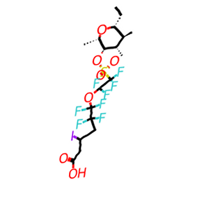 CC[C@H]1O[C@@H](C)[C@@H](OS(=O)(=O)C(F)(F)C(F)(F)OC(F)(F)C(F)(F)CC(I)CC(=O)O)[C@@H](C)[C@@H]1C